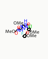 COC(=O)CNC(=O)Cc1nc(OC)c2[nH]c(=O)n(-c3cc(OCc4c(F)cccc4OC)c(OC)cc3Cl)c2n1